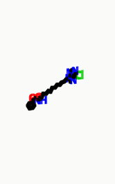 O=C(NOCCCCCCCCCCCCn1cnc2c(Cl)ncnc21)c1ccccc1